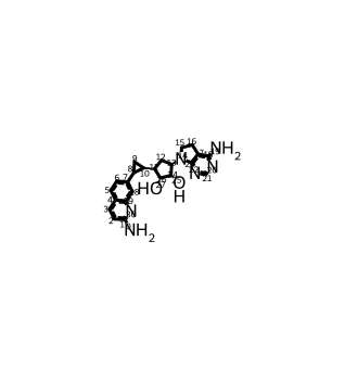 Nc1ccc2ccc(C3CC3[C@H]3C[C@@H](N4CCc5c(N)ncnc54)[C@H](O)[C@@H]3O)cc2n1